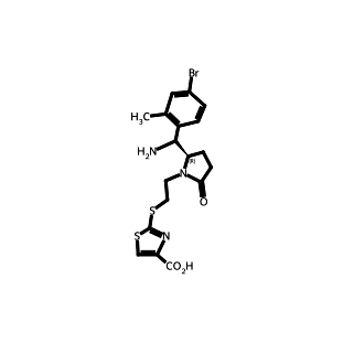 Cc1cc(Br)ccc1C(N)[C@H]1CCC(=O)N1CCSc1nc(C(=O)O)cs1